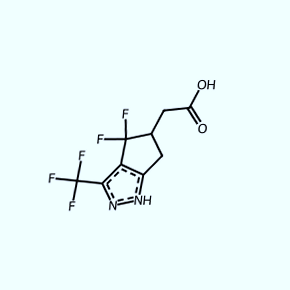 O=C(O)CC1Cc2[nH]nc(C(F)(F)F)c2C1(F)F